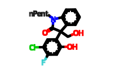 CCCCCN1C(=O)C(CO)(c2cc(Cl)c(F)cc2O)c2ccccc21